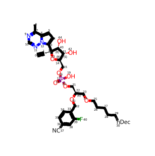 C#C[C@@]1(c2ccc3c(C)ncnn23)O[C@H](COP(=O)(O)OC[C@@H](COCCCCCCCCCCCCCCC)OCc2ccc(C#N)cc2F)[C@@H](O)[C@H]1O